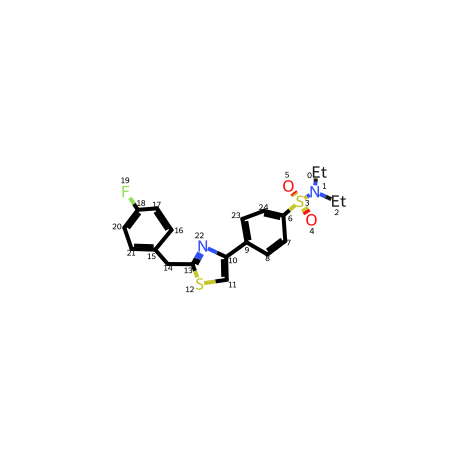 CCN(CC)S(=O)(=O)c1ccc(-c2csc(Cc3ccc(F)cc3)n2)cc1